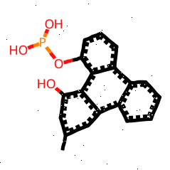 Cc1cc(O)c2c(c1)c1ccccc1c1cccc(OP(O)O)c12